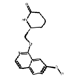 CC(C)Oc1ccc2ccnc(OC[C@@H]3CCCC(=O)N3)c2c1